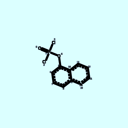 O=P(Cl)(Cl)Oc1cccc2ncccc12